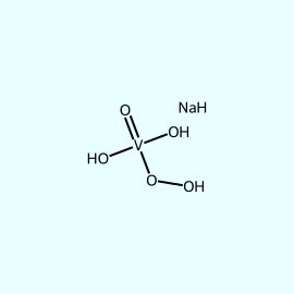 [NaH].[O]=[V]([OH])([OH])[O]O